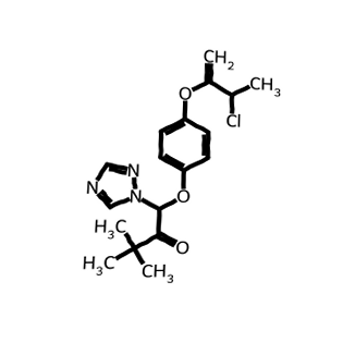 C=C(Oc1ccc(OC(C(=O)C(C)(C)C)n2cncn2)cc1)C(C)Cl